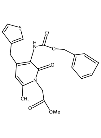 COC(=O)Cn1c(C)cc(Cc2ccsc2)c(NC(=O)OCc2ccccc2)c1=O